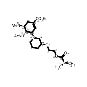 CCOC(=O)C1=C[C@@H](N2CCC[C@H](OCCOC(=O)N(C)C)C2)[C@H](NC(C)=O)[C@@H](NC)C1